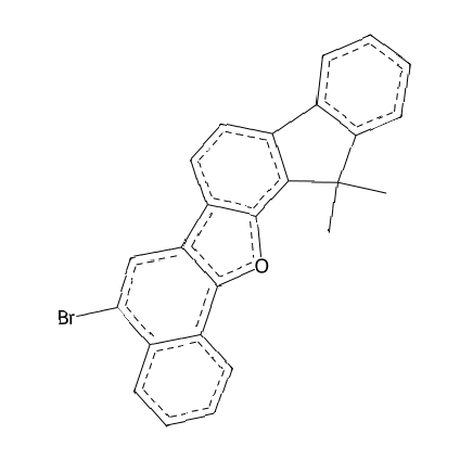 CC1(C)c2ccccc2-c2ccc3c(oc4c5ccccc5c(Br)cc34)c21